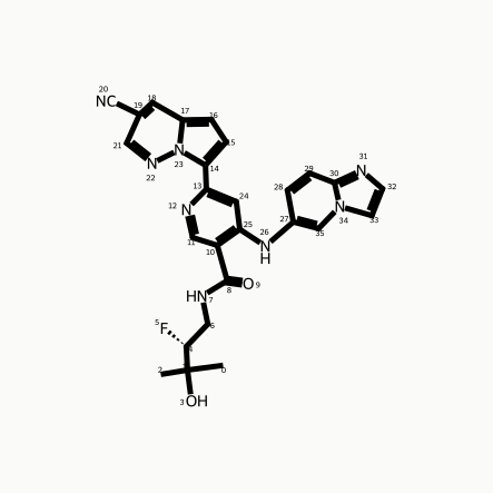 CC(C)(O)[C@H](F)CNC(=O)c1cnc(-c2ccc3cc(C#N)cnn23)cc1Nc1ccc2nccn2c1